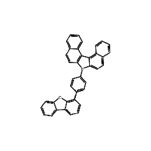 c1ccc2c(c1)ccc1c2c2c3ccccc3ccc2n1-c1ccc(-c2cccc3c2oc2ccccc23)cc1